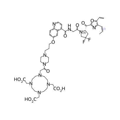 C=Cc1oc(C(=O)[C@@H]2CC(F)(F)CN2C(=O)CNC(=O)c2ccnc3ccc(OCCCN4CCN(C(=O)CN5CCN(CC(=O)O)CCN(CC(=O)O)CCN(CC(=O)O)CC5)CC4)cc23)nc1/C=C\C